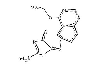 CCOc1ncnc2ccc(C=C3SC(N)=NC3=O)cc12